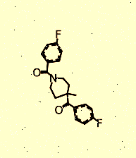 CC1(C(=O)c2ccc(F)cc2)CCN(C(=O)c2ccc(F)cc2)CC1